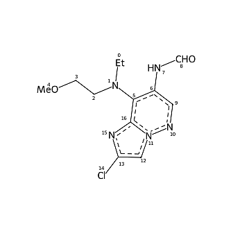 CCN(CCOC)c1c(NC=O)cnn2cc(Cl)nc12